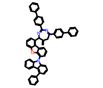 C=C1CC(c2ccc(-c3ccccc3)cc2)=NC(c2ccc(-c3ccccc3)cc2)=NC1c1cccc2oc3c(-n4c5ccccc5c5c(-c6ccccc6)cccc54)cccc3c12